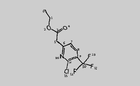 CCOC(=O)Cc1ccc(C(F)(F)F)c(Cl)n1